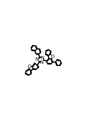 c1ccc(-c2ccc(-c3nc(-c4ccc5ccccc5c4)nc(-c4ccc5c(c4)oc4ccccc45)n3)c3c2oc2ccccc23)cc1